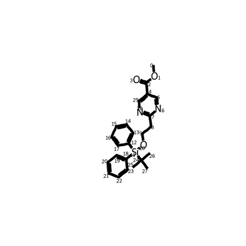 COC(=O)c1cnc(CCO[Si](c2ccccc2)(c2ccccc2)C(C)(C)C)nc1